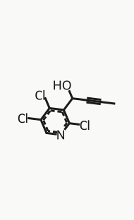 CC#CC(O)c1c(Cl)ncc(Cl)c1Cl